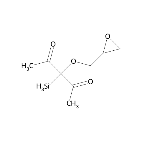 CC(=O)C([SiH3])(OCC1CO1)C(C)=O